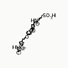 O=C(CC1CN(C(=O)Cc2ccc(OCCCC3CCN(C4NCC(Cl)CN4)CC3)cc2F)C1)NCCCCS(=O)(=O)O